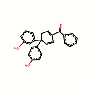 O=C(C1=CCC(c2ccc(O)cc2)(c2cccc(O)c2)C=C1)c1ccccc1